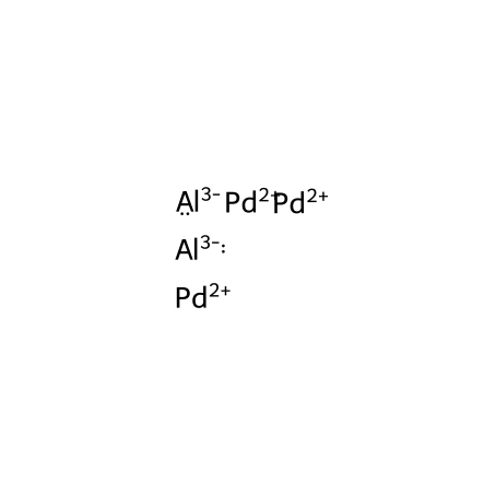 [Al-3].[Al-3].[Pd+2].[Pd+2].[Pd+2]